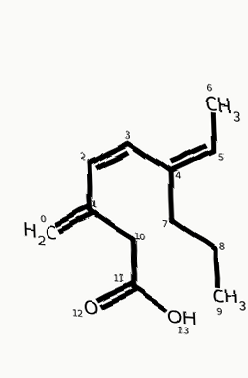 C=C(/C=C\C(=C/C)CCC)CC(=O)O